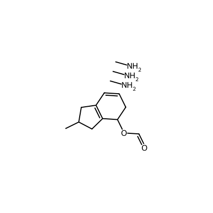 CC1CC2=C(C1)C(OC=O)CC=C2.CN.CN.CN